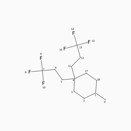 CC1CCC(CCC(F)(F)F)(CCC(F)(F)F)CC1